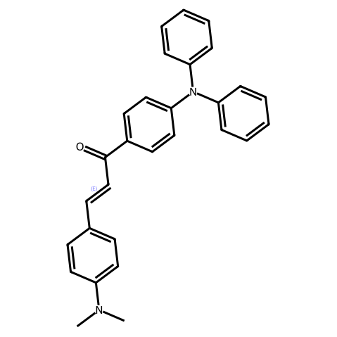 CN(C)c1ccc(/C=C/C(=O)c2ccc(N(c3ccccc3)c3ccccc3)cc2)cc1